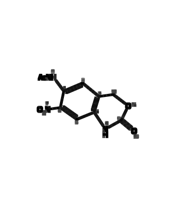 CC(=O)Nc1cc2c(cc1[N+](=O)[O-])NC(=O)OC2